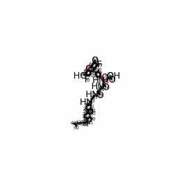 Cc1cc(C(=O)N[C@@H](CCC(=O)O)C(=O)NCCC(=O)NCCCN[C@H]2CC[C@@]3(C)C(=CCC4C3CC[C@@]3(C)C4CC[C@@H]3[C@H](C)CCCC(C)C)C2)ccc1-c1c2cc(F)c(=O)cc-2oc2cc(O)c(F)cc12